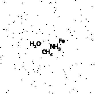 C.N.O.[Fe]